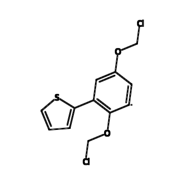 ClCOc1c[c]c(OCCl)c(-c2cccs2)c1